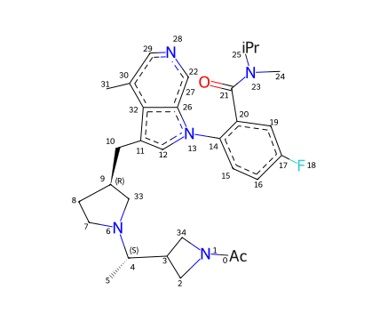 CC(=O)N1CC([C@H](C)N2CC[C@@H](Cc3cn(-c4ccc(F)cc4C(=O)N(C)C(C)C)c4cncc(C)c34)C2)C1